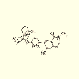 Cn1cnc2cc(O)c(-c3ccc(O[C@@H]4C[C@@]5(C)CCC[C@](C)(N5)[C@@H]4F)nn3)cc2c1=O